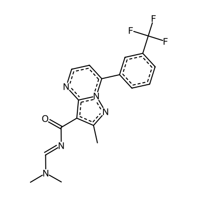 Cc1nn2c(-c3cccc(C(F)(F)F)c3)ccnc2c1C(=O)N=CN(C)C